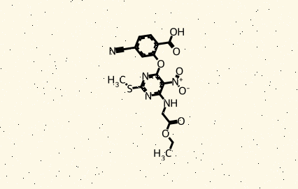 CCOC(=O)CNc1nc(SC)nc(Oc2cc(C#N)ccc2C(=O)O)c1[N+](=O)[O-]